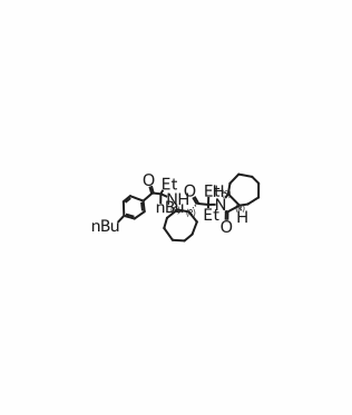 CCCCc1ccc(C(=O)C(CC)(CCCC)N[C@H]2CCCCCC[C@H]2C(=O)C(CC)(CC)N2C(=O)[C@@H]3CCCCCC[C@@H]32)cc1